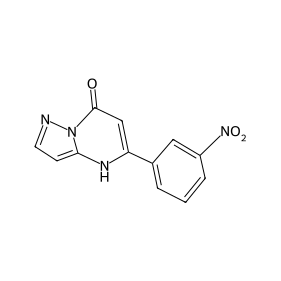 O=c1cc(-c2cccc([N+](=O)[O-])c2)[nH]c2ccnn12